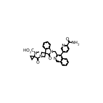 CN(C(=O)O)C1(C(=O)N2CC3(C2)C(=O)N(Cc2ncc4ccccc4c2-c2ccc(C(N)=O)nc2)c2ccccc23)CC1